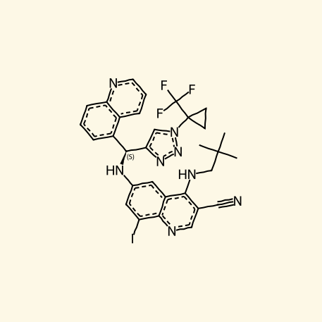 CC(C)(C)CNc1c(C#N)cnc2c(I)cc(N[C@H](c3cn(C4(C(F)(F)F)CC4)nn3)c3cccc4ncccc34)cc12